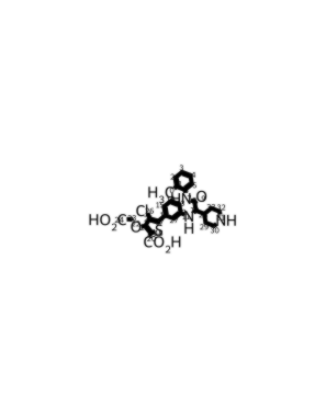 Cc1ccccc1NC(=O)C(Nc1cccc(-c2sc(C(=O)O)c(OCC(=O)O)c2Cl)c1)C1CCNCC1